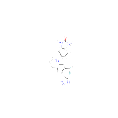 Cn1cc(-c2cc3c(cc2C(F)F)N(c2ccc4c(c2)n(C)c(=O)n4C)CCC3)cn1